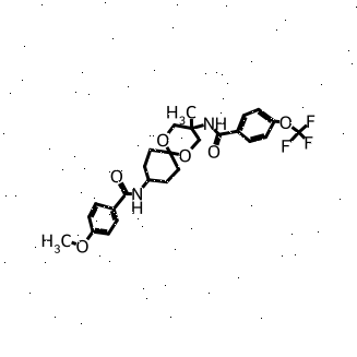 COc1ccc(C(=O)NC2CCC3(CC2)OCC(C)(NC(=O)c2ccc(OC(F)(F)F)cc2)CO3)cc1